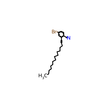 CCCCCCCCCCCCCCC#Cc1cc(Br)ccc1C#N